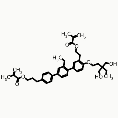 C=C(C)C(=O)OCCCc1ccc(-c2ccc(-c3ccc(OCCC(CC)(CO)CO)c(CCOC(=O)C(=C)C)c3)c(CC)c2)cc1